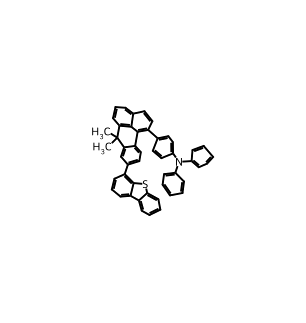 CC1(C)c2cc(-c3cccc4c3sc3ccccc34)ccc2-c2c(-c3ccc(N(c4ccccc4)c4ccccc4)cc3)ccc3cccc1c23